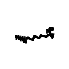 [N-]=[N+]=NCCCCCCC1(N=O)CC1